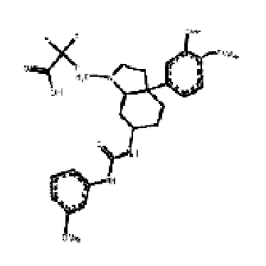 COc1cccc(NC(=O)NC2CCC3(c4ccc(OC)c(OC)c4)CCN(C)C3C2)c1.O=C(O)C(F)(F)F